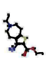 CCOC(=O)c1sc2c(c1N)CCN(CC)CC2